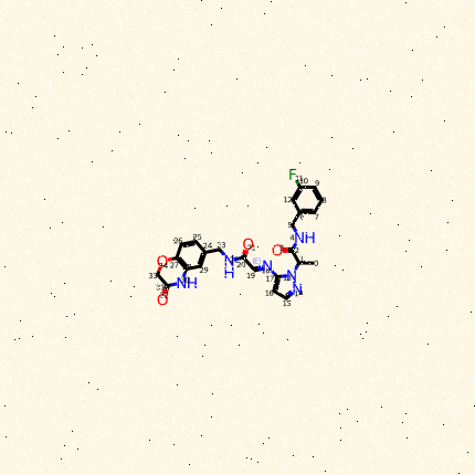 CC(C(=O)NCc1cccc(F)c1)n1nccc1/N=C/C(=O)NCc1ccc2c(c1)NC(=O)CO2